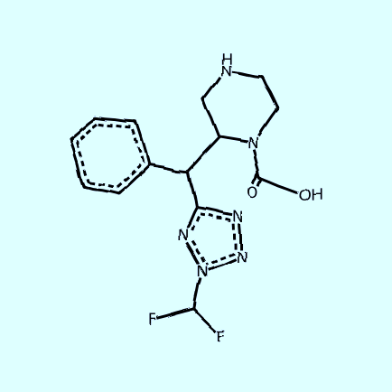 O=C(O)N1CCNCC1C(c1ccccc1)c1nnn(C(F)F)n1